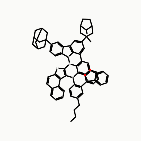 CCCCc1ccc(N2c3c4c(cc5c3oc3ccccc35)-c3cc(C5(C)CC6CCC(C5)C6C)cc5c6cc(C78CC9CC(CC(C9)C7)C8)ccc6n(c35)B4c3oc4ccc5ccccc5c4c32)c(-c2ccccc2)c1